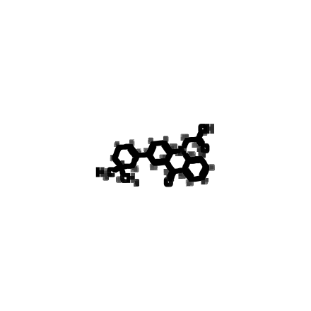 CC1(C)CCC=C(c2ccc3c(c2)c(=O)c2ccccc2n3CC(=O)O)C1